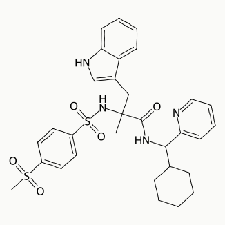 CC(Cc1c[nH]c2ccccc12)(NS(=O)(=O)c1ccc(S(C)(=O)=O)cc1)C(=O)NC(c1ccccn1)C1CCCCC1